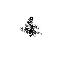 CC1CN(C(=O)[C@@H](NC(=O)NC2(CS(=O)(=O)c3ccccc3)CC2)C(C)(C)C)[C@H](C(=O)NC(CC2CC2)C(=O)C(N)=O)CC1(C)C